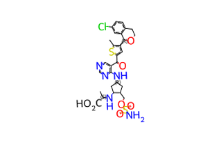 Cc1sc(C(=O)c2cncnc2N[C@@H]2CC(COS(N)(=O)=O)C(N[C@@H](C)C(=O)O)C2)cc1[C@@H]1OCCc2ccc(Cl)cc21